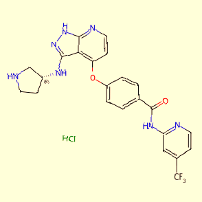 Cl.O=C(Nc1cc(C(F)(F)F)ccn1)c1ccc(Oc2ccnc3[nH]nc(N[C@@H]4CCNC4)c23)cc1